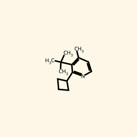 Cc1ccnc(C2CCC2)c1C(C)(C)C